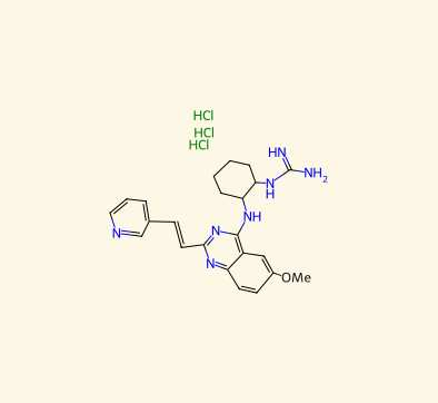 COc1ccc2nc(/C=C/c3cccnc3)nc(NC3CCCCC3NC(=N)N)c2c1.Cl.Cl.Cl